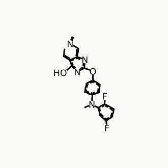 C=N/C=c1/nc(Oc2ccc(N(C)c3cc(F)ccc3F)cc2)nc(O)/c1=C/C